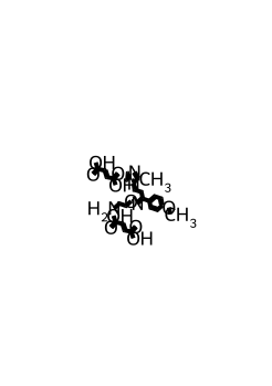 COc1ccc(C(CCn2ccnc2C)=NOCCN)cc1.O=C(O)/C=C/C(=O)O.O=C(O)/C=C/C(=O)O